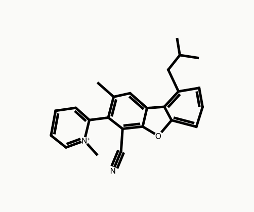 Cc1cc2c(oc3cccc(CC(C)C)c32)c(C#N)c1-c1cccc[n+]1C